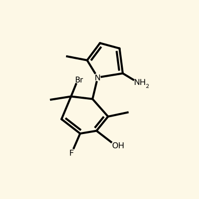 CC1=C(O)C(F)=CC(C)(Br)C1n1c(C)ccc1N